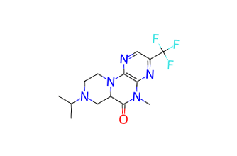 CC(C)N1CCN2c3ncc(C(F)(F)F)nc3N(C)C(=O)C2C1